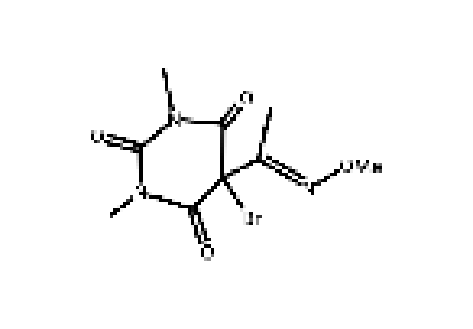 CO/N=C(\C)C1(Br)C(=O)N(C)C(=O)N(C)C1=O